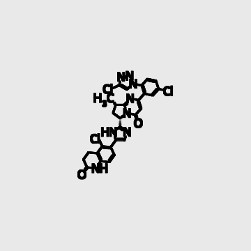 C[C@@H]1C[C@@H](c2ncc(-c3ccc4c(c3Cl)CCC(=O)N4)[nH]2)n2c1nc(-c1cc(Cl)ccc1-n1cc(Cl)nn1)cc2=O